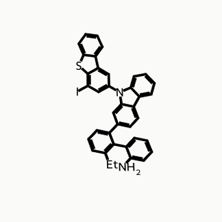 CCc1cccc(-c2ccc3c4ccccc4n(-c4cc(I)c5sc6ccccc6c5c4)c3c2)c1-c1ccccc1N